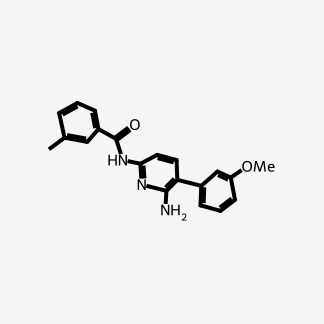 COc1cccc(-c2ccc(NC(=O)c3cccc(C)c3)nc2N)c1